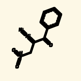 [N-]=[N+]=C(C[SH](=O)=O)C(=O)c1ccccc1